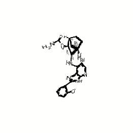 NC(=O)O[C@@H]1[C@H](Nc2c(Br)cnc3[nH]c(-c4ccccc4Cl)nc23)[C@H]2C=C[C@@H]1C2